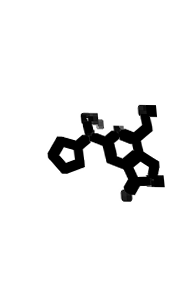 CN(c1cc2c(c(CO)n1)CNC2=O)C1CCCC1